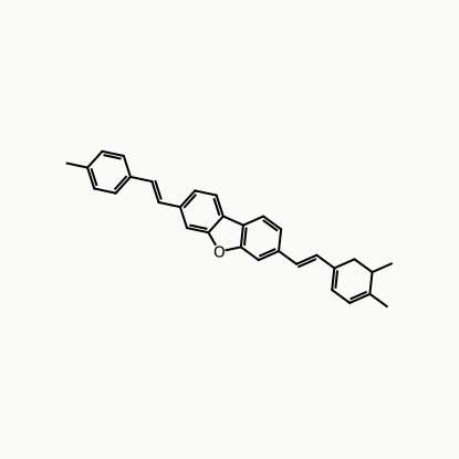 CC1=CC=C(/C=C/c2ccc3c(c2)oc2cc(/C=C/c4ccc(C)cc4)ccc23)CC1C